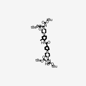 Cc1cc(N2CCN(/C(=N/C(=O)OC(C)(C)C)NC(=O)OC(C)(C)C)CC2)ccc1NC(=O)c1ccc(N2CCN(/C(=N/C(=O)OC(C)(C)C)NC(=O)OC(C)(C)C)CC2)cc1